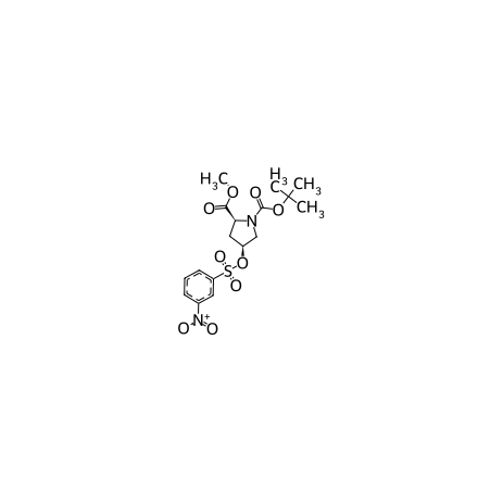 COC(=O)[C@@H]1C[C@H](OS(=O)(=O)c2cccc([N+](=O)[O-])c2)CN1C(=O)OC(C)(C)C